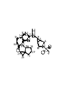 CS(=O)(=O)N1CC2C(C1)C2Nc1ncc2ccc(=O)n([C@H]3CCCC34CC4)c2n1